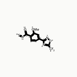 COc1cc(-c2noc(C(F)(F)F)n2)ccc1C(=O)N=S